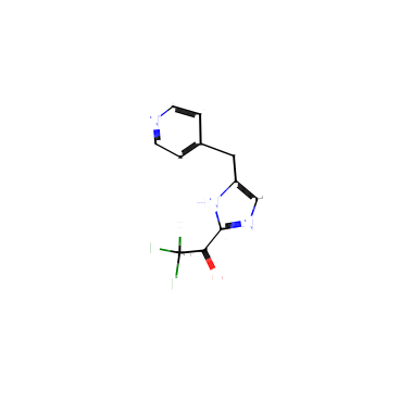 O=C(c1ncc(Cc2ccncc2)[nH]1)C(F)(F)F